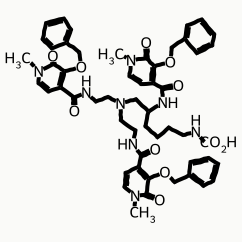 Cn1ccc(C(=O)NCCN(CCNC(=O)c2ccn(C)c(=O)c2OCc2ccccc2)CC(CCCCNC(=O)O)NC(=O)c2ccn(C)c(=O)c2OCc2ccccc2)c(OCc2ccccc2)c1=O